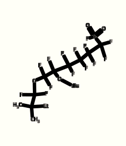 CCC(C)(C)C(F)(F)OC(F)(F)C(F)(OC(C)(C)C)C(F)(F)C(F)(F)C(F)(F)C(F)(F)S(=O)(=O)F